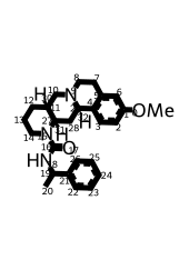 COc1ccc2c(c1)CCN1C[C@H]3CCCN(C(=O)NC(C)c4ccccc4)[C@H]3C[C@H]21